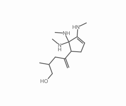 C=C(CC(C)CO)C1CC=C(NC)C1(NC)NC